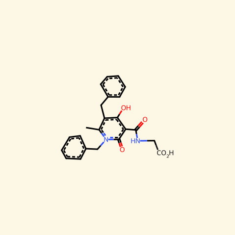 Cc1c(Cc2ccccc2)c(O)c(C(=O)NCC(=O)O)c(=O)n1Cc1ccccc1